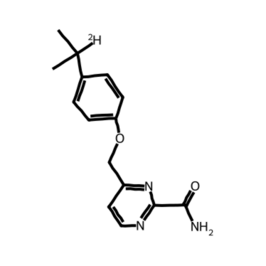 [2H]C(C)(C)c1ccc(OCc2ccnc(C(N)=O)n2)cc1